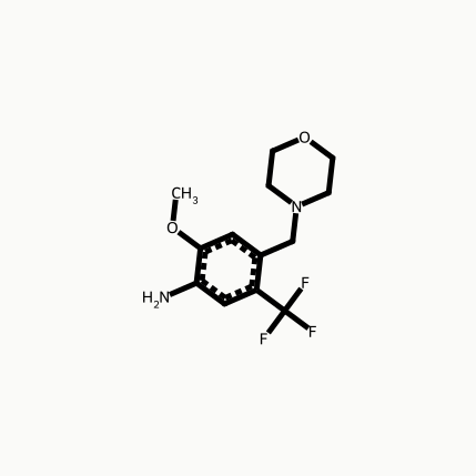 COc1cc(CN2CCOCC2)c(C(F)(F)F)cc1N